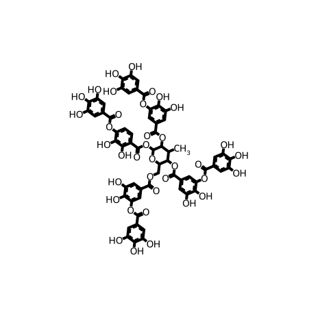 CC1C(OC(=O)c2cc(O)c(O)c(OC(=O)c3cc(O)c(O)c(O)c3)c2)C(COC(=O)c2cc(O)c(O)c(OC(=O)c3cc(O)c(O)c(O)c3)c2)OC(OC(=O)c2ccc(OC(=O)c3cc(O)c(O)c(O)c3)c(O)c2O)C1OC(=O)c1cc(O)c(O)c(OC(=O)c2cc(O)c(O)c(O)c2)c1